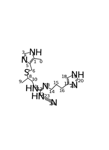 Cc1[nH]cnc1CSC(C)CNC(=NCCCc1c[nH]cn1)NC#N